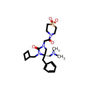 CN(C)C[C@@]1(Cc2ccccc2)CN(CC(=O)N2CCS(=O)(=O)CC2)C(=O)N1CC1CCC1